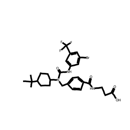 CC(C)(C)C1CCC(N(Cc2ccc(C(=O)NCCC(=O)O)cc2)C(=O)Nc2cc(Br)cc(C(F)(F)F)c2)CC1